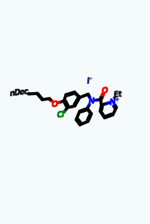 CCCCCCCCCCCCCCOc1ccc(CN(C(=O)c2cccc[n+]2CC)c2ccccc2)cc1Cl.[I-]